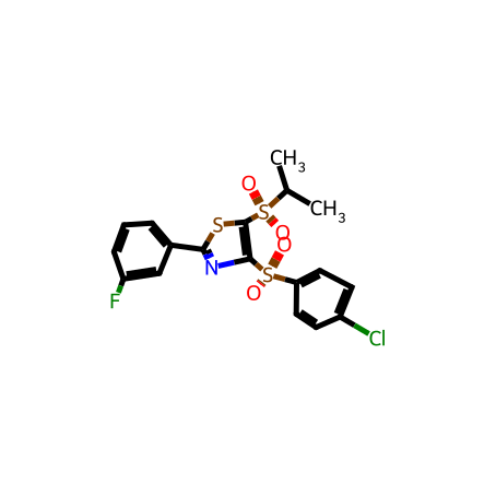 CC(C)S(=O)(=O)c1sc(-c2cccc(F)c2)nc1S(=O)(=O)c1ccc(Cl)cc1